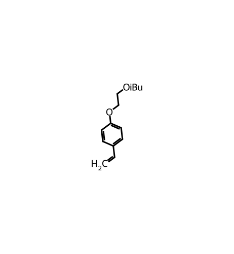 C=Cc1ccc(OCCOCC(C)C)cc1